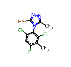 Fc1cc(Cl)c(-n2c(S)nnc2C(F)(F)F)c(Cl)c1C(F)(F)F